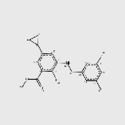 COC(=O)c1nc(C2CC2)nc(NCc2cc(C)cc(F)c2)c1Cl